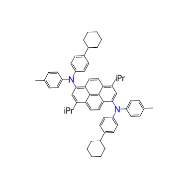 Cc1ccc(N(c2ccc(C3CCCCC3)cc2)c2cc(C(C)C)c3ccc4c(N(c5ccc(C)cc5)c5ccc(C6CCCCC6)cc5)cc(C(C)C)c5ccc2c3c54)cc1